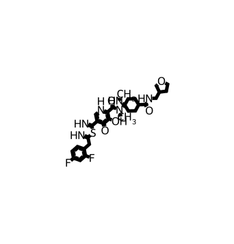 CNC1(N(C)C(=O)c2[nH]cc(C(=N)SC(=N)Cc3ccc(F)cc3F)c(=O)c2O)CCC(C(=O)NCC2CCOC2)CC1